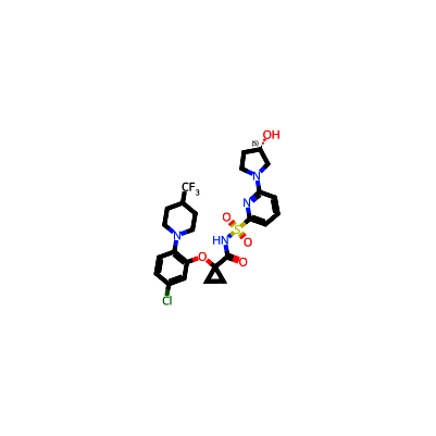 O=C(NS(=O)(=O)c1cccc(N2CC[C@H](O)C2)n1)C1(Oc2cc(Cl)ccc2N2CCC(C(F)(F)F)CC2)CC1